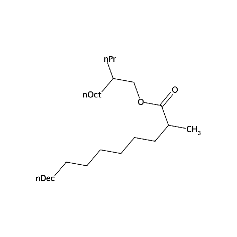 CCCCCCCCCCCCCCCCC(C)C(=O)OCC(CCC)CCCCCCCC